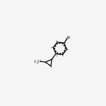 FC(F)(F)C1CC1c1ccc(Br)cc1